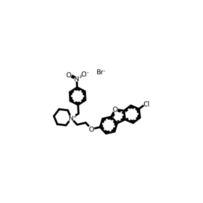 O=[N+]([O-])c1ccc(C[N+]2(CCOc3ccc4c(c3)oc3cc(Cl)ccc34)CCCCC2)cc1.[Br-]